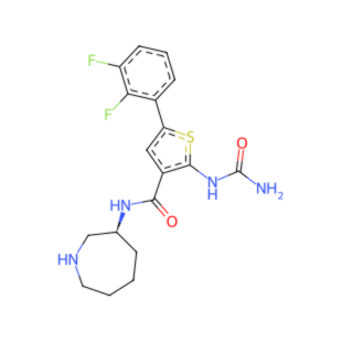 NC(=O)Nc1sc(-c2cccc(F)c2F)cc1C(=O)N[C@H]1CCCCNC1